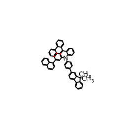 CC1(C)c2ccccc2-c2ccc(-c3ccc(N(c4cccc(-c5cccc6ccccc56)c4)c4ccccc4-c4cc5ccccc5c5ccccc45)cc3)cc21